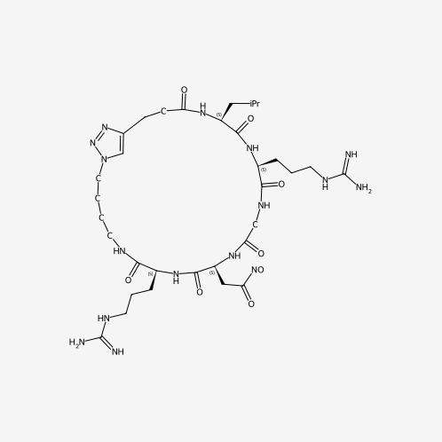 CC(C)C[C@@H]1NC(=O)CCc2cn(nn2)CCCCNC(=O)[C@H](CCCNC(=N)N)NC(=O)[C@H](CC(=O)N=O)NC(=O)CNC(=O)[C@H](CCCNC(=N)N)NC1=O